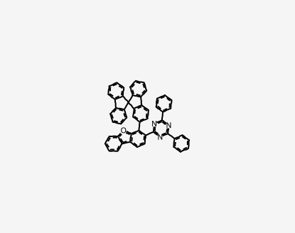 c1ccc(-c2nc(-c3ccccc3)nc(-c3ccc4c(oc5ccccc54)c3-c3ccc4c(c3)C3(c5ccccc5-c5ccccc53)c3ccccc3-4)n2)cc1